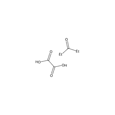 CCC(=O)CC.O=C(O)C(=O)O